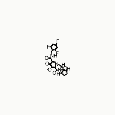 COc1c2n(cc(C(=O)NCc3c(F)cc(F)cc3F)c1=O)C[C@@H]1O[C@H]3CC[C@H]([C@H]3C)N1C2=O